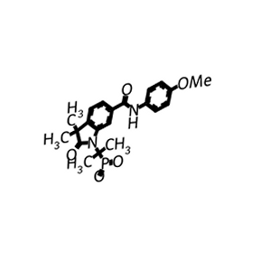 COc1ccc(NC(=O)c2ccc3c(c2)N(C(C)(C)P(=O)=O)C(=O)C3(C)C)cc1